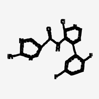 CC(C)c1ncc(C(=O)Nc2c(-c3cc(F)ccc3F)ccnc2Cl)cn1